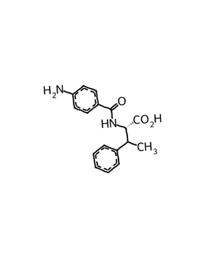 CC(c1ccccc1)[C@H](NC(=O)c1ccc(N)cc1)C(=O)O